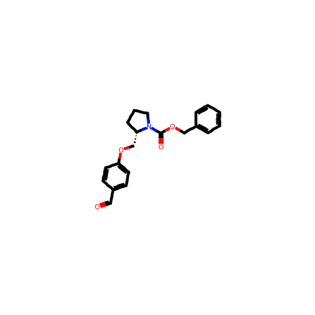 O=Cc1ccc(OC[C@@H]2CCCN2C(=O)OCc2ccccc2)cc1